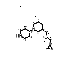 C1CC(COCC2CC2)CN(C2CCNCC2)C1